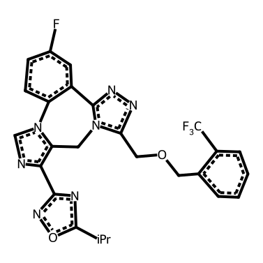 CC(C)c1nc(-c2ncn3c2Cn2c(COCc4ccccc4C(F)(F)F)nnc2-c2cc(F)ccc2-3)no1